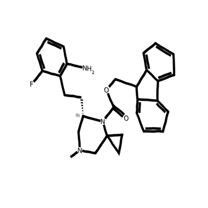 CN1C[C@H](CCc2c(N)cccc2F)N(C(=O)OCC2c3ccccc3-c3ccccc32)C2(CC2)C1